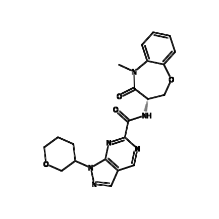 CN1C(=O)[C@@H](NC(=O)c2ncc3cnn(C4CCCOC4)c3n2)COc2ccccc21